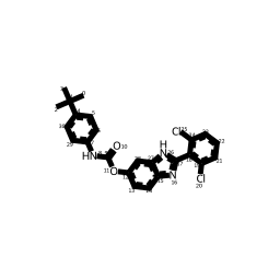 CC(C)(C)c1ccc(NC(=O)Oc2ccc3nc(-c4c(Cl)cccc4Cl)[nH]c3c2)cc1